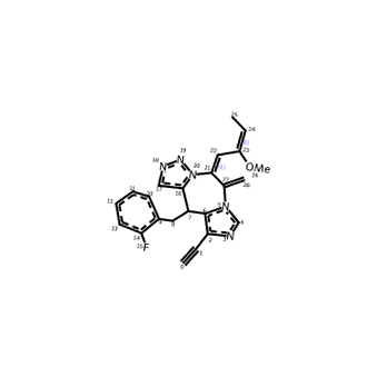 C#Cc1ncn2c1C(Cc1ccccc1F)c1cnnn1/C(=C/C(=C\C)OC)C2=C